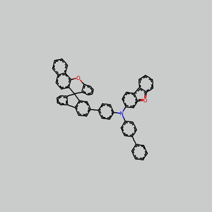 c1ccc(-c2ccc(N(c3ccc(-c4ccc5c(c4)C4(c6ccccc6Oc6c4ccc4ccccc64)c4ccccc4-5)cc3)c3ccc4c(c3)oc3ccccc34)cc2)cc1